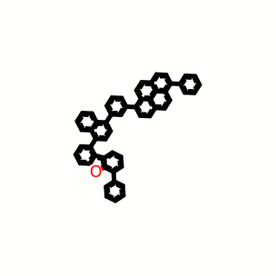 c1ccc(-c2ccc3ccc4c(-c5cccc(-c6ccc(-c7cccc8oc9c(-c%10ccccc%10)cccc9c78)c7ccccc67)c5)ccc5ccc2c3c54)cc1